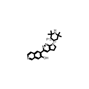 CC1(C)C[C@H](N2CCc3cc(-c4cc5ccncc5cc4O)nnc32)[C@H](F)C(C)(C)N1